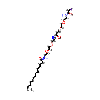 CCCCCCCCCCCCCC(=O)NCCOCCOCCNC(=O)CCOCCOCCNC(=O)CI